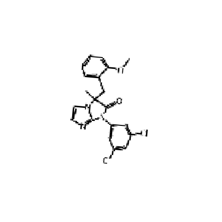 COc1ccccc1CC1(C)C(=O)N(c2cc(Cl)cc(Cl)c2)c2nccn21